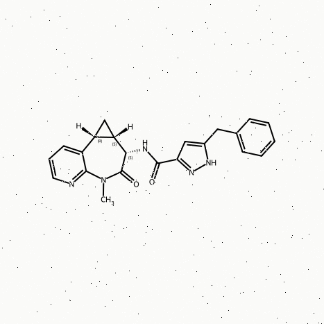 CN1C(=O)[C@@H](NC(=O)c2cc(Cc3ccccc3)[nH]n2)[C@H]2C[C@H]2c2cccnc21